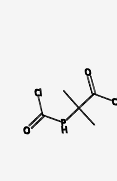 CC(C)(PC(=O)Cl)C(=O)Cl